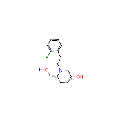 O[C@@H]1CC[C@H](COI)N(CCc2ccccc2F)C1